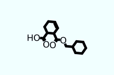 O=C(OCC1CCCCC1)C1C=CCCC1C(=O)O